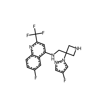 Fc1ccc2nc(C(F)(F)F)cc(NCC3(n4cc(F)cn4)CNC3)c2c1